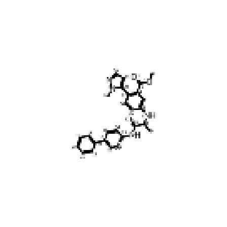 COC(=O)c1cc(NC(C)C(=O)Nc2ccc(-c3ccccc3)cn2)ccc1-c1ccnn1C